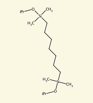 CC(C)O[Si](C)(C)CCCCCCC[Si](C)(C)OC(C)C